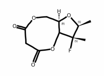 C[C@@H]1O[C@@H]2COC(=O)CC(=O)OC2[C@@]1(C)F